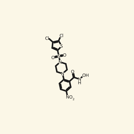 O=C(NO)c1cc([N+](=O)[O-])ccc1N1CCN(S(=O)(=O)c2cc(Cl)c(Cl)s2)CC1